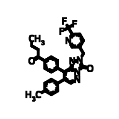 CCCC(=O)c1ccc(-c2c(-c3ccc(C)cc3)cnn3c(=O)n(Cc4ccc(C(F)(F)F)nc4)nc23)cc1